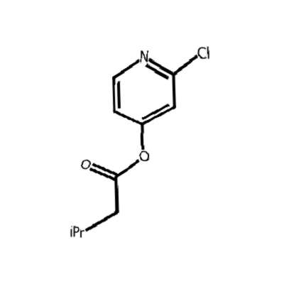 CC(C)CC(=O)Oc1ccnc(Cl)c1